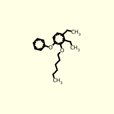 CCCCCCOc1c(Oc2ccccc2)ccc(CC)c1CC